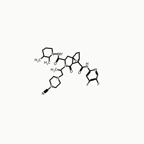 CC1CCCN(NC(=O)C2CC34CCC(O3)C(C(=O)Nc3cc(F)c(F)cn3)C4C(=O)N2C(C)CN2CCN(C#N)CC2)C1C